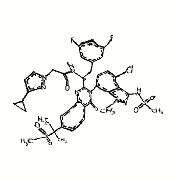 Cn1nc(NS(C)(=O)=O)c2c(Cl)ccc(-n3c([C@H](Cc4cc(F)cc(F)c4)NC(=O)Cn4ccc(C5CC5)n4)nc4cc(C(C)(C)S(C)(=O)=O)ccc4c3=O)c21